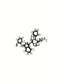 NC(=O)C(NC(=O)c1nn(Cc2ccccc2F)c2ccccc12)c1ccccc1